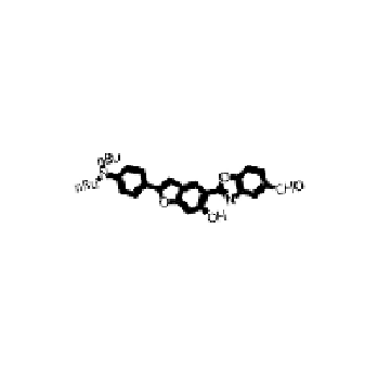 CCCCN(CCCC)c1ccc(-c2cc3cc(-c4nc5cc(C=O)ccc5o4)c(O)cc3o2)cc1